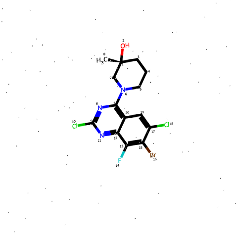 C[C@@]1(O)CCCN(c2nc(Cl)nc3c(F)c(Br)c(Cl)cc23)C1